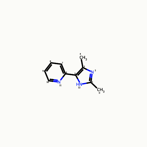 Cc1nc(C)c(-c2ccccn2)[nH]1